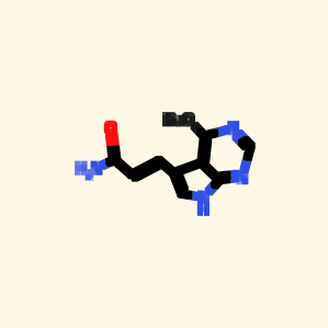 CC(C)COc1ncnc2[nH]cc(/C=C/C(N)=O)c12